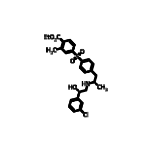 CCOC(=O)c1ccc(S(=O)(=O)c2ccc(C[C@@H](C)NC[C@H](O)c3cccc(Cl)c3)cc2)cc1C